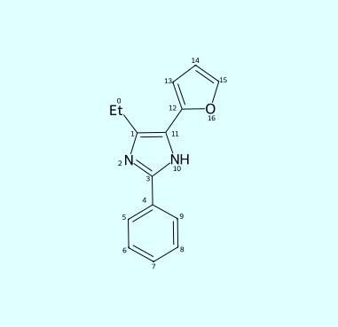 CCc1nc(-c2ccccc2)[nH]c1-c1ccco1